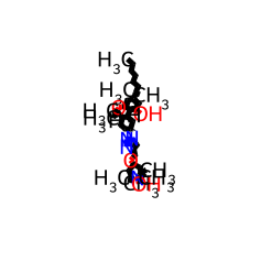 CCCCCCC(C)(C)c1cc(O)c2c(c1)OC(C)(C)[C@@H]1CC[C@@H](Cn3cc(COC4CC(C)(C)N(O)C(C)(C)C4)nn3)C[C@@H]21